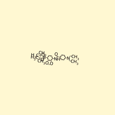 CCN(CC)c1ccc(C(=O)Nc2ccc(B3OC(C)(C)C(C)(C)O3)c3c2OCO3)cc1